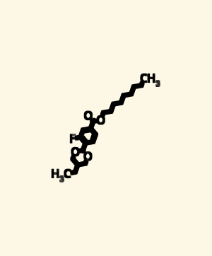 CCCCCCCCCOC(=O)c1ccc(C2OCC(CC)CO2)c(F)c1